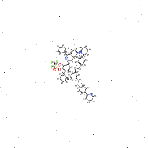 O=S(=O)(Oc1cc(-c2cc3ccccc3c(-c3ccccc3)n2)ccc1-c1ccccc1-c1cc(CCc2ccc(-c3ccccn3)cc2)cc(CCc2ccc(-c3ccccn3)cc2)c1)C(F)(F)F